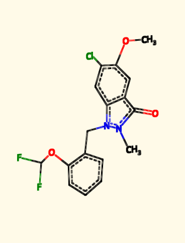 COc1cc2c(=O)n(C)n(Cc3ccccc3OC(F)F)c2cc1Cl